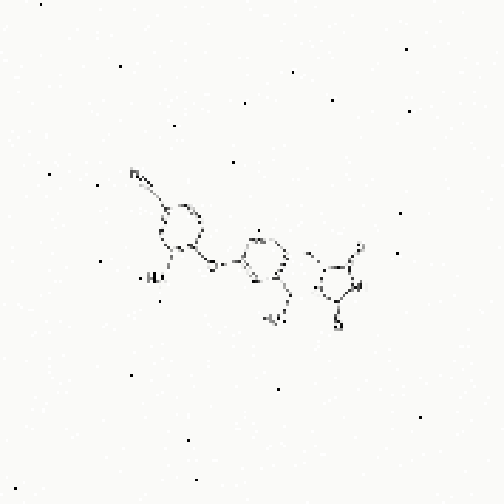 CCc1cc(Oc2ccc(C#N)cc2C)ccc1C[C@H]1OC(=O)NC1=O